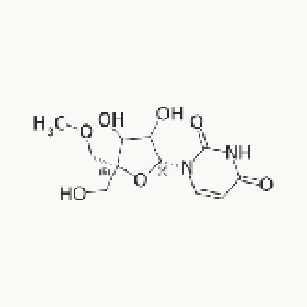 COC[C@@]1(CO)O[C@@H](n2ccc(=O)[nH]c2=O)C(O)C1O